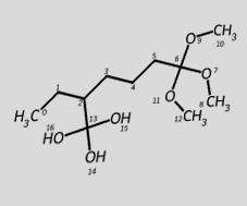 CCC(CCCC(OC)(OC)OC)C(O)(O)O